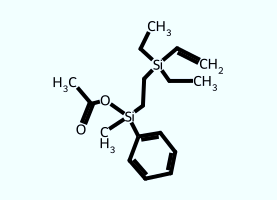 C=C[Si](CC)(CC)CC[Si](C)(OC(C)=O)c1ccccc1